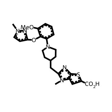 COc1cccc(N2CCC(Cc3nc4sc(C(=O)O)cc4n3C)CC2)c1Oc1ccn(C)n1